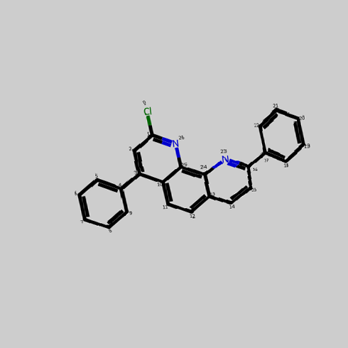 Clc1cc(-c2ccccc2)c2ccc3ccc(-c4ccccc4)nc3c2n1